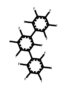 Cc1c(F)c(-c2c(F)c(F)c(F)c(F)c2I)c(F)c(-c2c(F)c(F)c(I)c(I)c2F)c1I